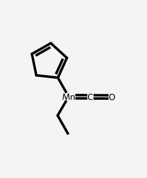 C[CH2][Mn](=[C]=O)[C]1=CC=CC1